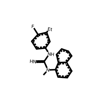 CCc1cc(NC(=N)N(C)c2cccc3ccccc23)ccc1F